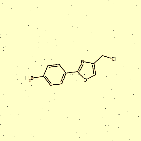 Bc1ccc(-c2nc(CCl)co2)cc1